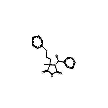 CC[C@@H](c1ccccc1)N1C(=O)NC(=O)[C@]1(C)CCCc1ccccc1